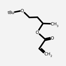 C=CC(=O)OC(C)CCOC(C)(C)C